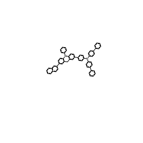 c1ccc(-c2ccc(N(c3ccc(-c4ccccc4)cc3)c3ccc(-c4ccc5c(c4)Cc4cc(-c6ccc7ccccc7c6)ccc4N5c4ccccc4)cc3)cc2)cc1